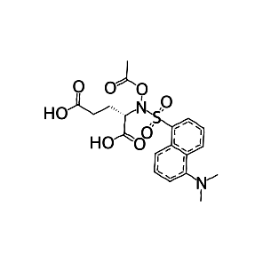 CC(=O)ON([C@@H](CCC(=O)O)C(=O)O)S(=O)(=O)c1cccc2c(N(C)C)cccc12